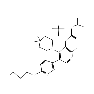 CCCCNc1ccc(-c2cnc(C)c([C@H](OC(C)(C)C)C(=O)OC(C)C)c2N2CCC(C)(C)CC2)cn1